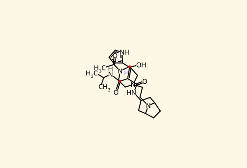 CC(=O)N1CCN(CCN2C3CCC2CC(NC(=O)/C(C(=O)NC(C)C)=C(\O)c2ccc[nH]2)C3)CC1